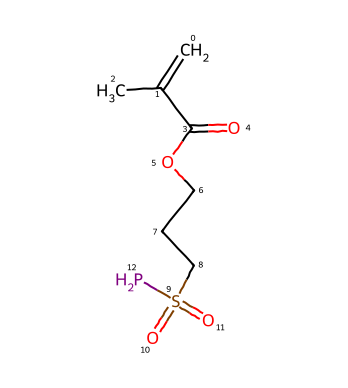 C=C(C)C(=O)OCCCS(=O)(=O)P